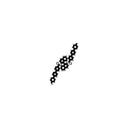 CC1CCC(c2ccc(-c3ccc(C(=O)OC4=C(c5c(OC(=O)c6ccc(-c7ccc(C8CCC(C)CC8)cc7)cc6)ccc6c5CCCC6)C5CCCCC5C=C4)cc3)cc2)CC1